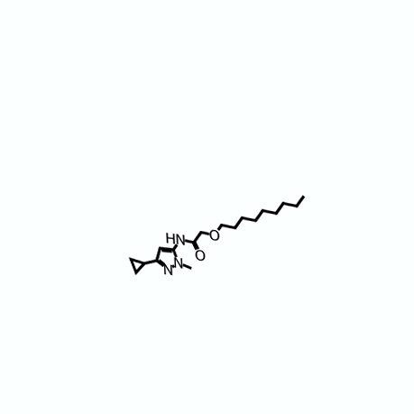 CCCCCCCCCOCC(=O)Nc1cc(C2CC2)nn1C